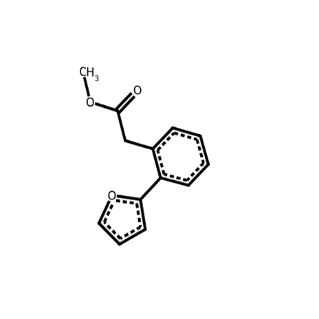 COC(=O)Cc1ccccc1-c1ccco1